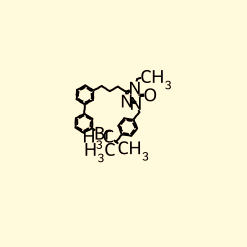 CCn1c(CCCc2cccc(-c3cccc(Br)c3)c2)nn(Cc2ccc(C(C)(C)C)cc2)c1=O